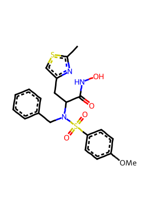 COc1ccc(S(=O)(=O)N(Cc2ccccc2)C(Cc2csc(C)n2)C(=O)NO)cc1